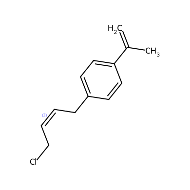 C=C(C)c1ccc(C/C=C\CCl)cc1